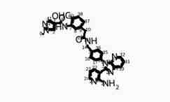 Cn1cc(C(=O)Nc2cc(CC(=O)NCc3ccc(-n4c(-c5cccnc5N)nc5cccnc54)cc3)ccc2C=O)cn1